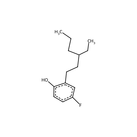 CCCC(CC)CCc1cc(F)ccc1O